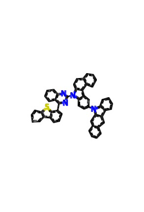 c1ccc2cc3c(cc2c1)c1ccccc1n3-c1ccc2c(c1)c1c3ccccc3ccc1n2-c1nc(-c2cccc3c2sc2ccccc23)c2ccccc2n1